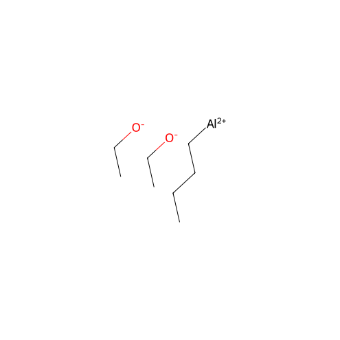 CCC[CH2][Al+2].CC[O-].CC[O-]